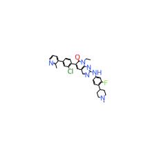 CCn1c(=O)c(-c2ccc(-c3cccnc3C)cc2Cl)cc2cnc(Nc3ccc(C4CCN(C)CC4)c(F)c3)nc21